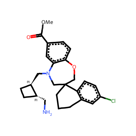 COC(=O)c1ccc2c(c1)N(C[C@@H]1CC[C@H]1CN)CC1(CCCc3cc(Cl)ccc31)CO2